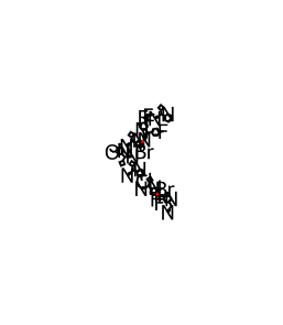 COc1ccnc(C(C#N)C2CCC2)c1.N#CC(c1cc(Br)ccn1)C1CCC1.N#CC(c1cc(Cl)ccn1)C1CCC1.N#CC(c1ccc(F)cc1)c1cc(C(F)(F)F)ccn1.N#CC(c1cccc(Br)n1)C1CCC1.N#CC(c1ccccn1)C1CCC1.N#CCc1cc(C(F)(F)F)ccn1